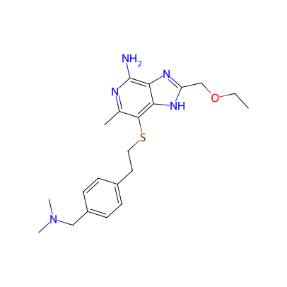 CCOCc1nc2c(N)nc(C)c(SCCc3ccc(CN(C)C)cc3)c2[nH]1